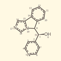 O[C@@H](c1ccncc1)C1c2ccccc2-c2cncn21